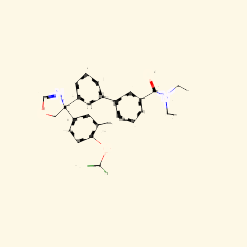 CCN(CC)C(=O)c1cccc(-c2cccc(C3(c4ccc(OC(F)F)c(C)c4)COC=N3)c2)c1